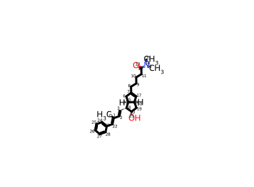 CC(/C=C/[C@@H]1[C@H]2CC(CCCCC(=O)N(C)C)=C[C@H]2C[C@H]1O)=C\c1ccccc1